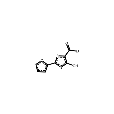 CCC(=O)c1sc(-c2ccno2)nc1O